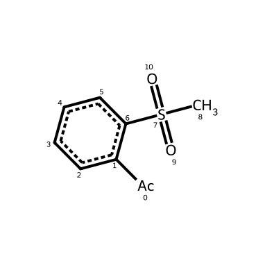 CC(=O)c1ccccc1S(C)(=O)=O